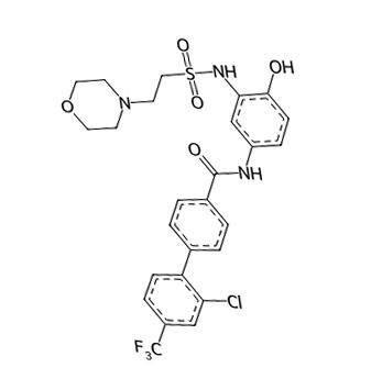 O=C(Nc1ccc(O)c(NS(=O)(=O)CCN2CCOCC2)c1)c1ccc(-c2ccc(C(F)(F)F)cc2Cl)cc1